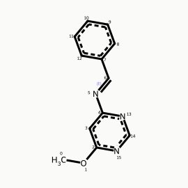 COc1cc(/N=C/c2ccccc2)ncn1